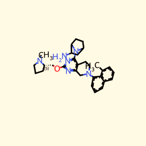 Cc1cccc2cccc(N3CCc4c(nc(OC[C@@H]5CCCN5C)nc4N4C5CCC4C(N)C5)C3)c12